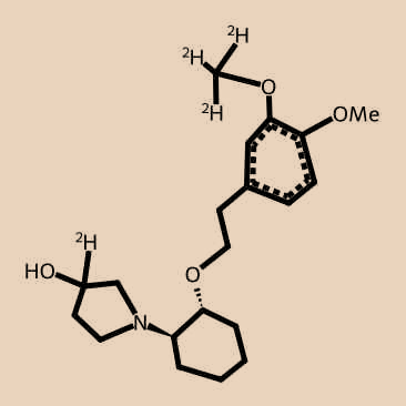 [2H]C1(O)CCN([C@@H]2CCCC[C@H]2OCCc2ccc(OC)c(OC([2H])([2H])[2H])c2)C1